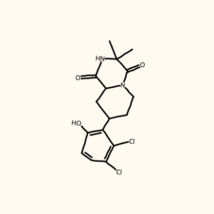 CC1(C)NC(=O)C2CC(c3c(O)ccc(Cl)c3Cl)CCN2C1=O